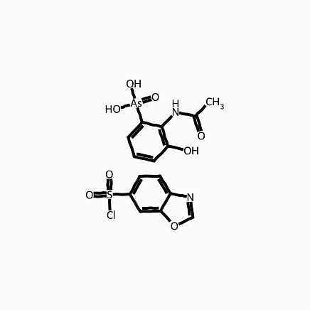 CC(=O)Nc1c(O)cccc1[As](=O)(O)O.O=S(=O)(Cl)c1ccc2ncoc2c1